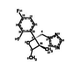 CC1O[C@@](Cn2cncn2)(c2ccc(F)cc2F)[C@H]1C